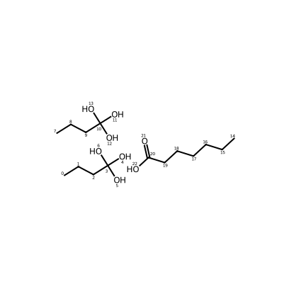 CCCC(O)(O)O.CCCC(O)(O)O.CCCCCCC(=O)O